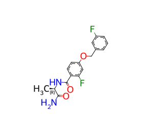 C[C@@H](NC(=O)c1ccc(OCc2cccc(F)c2)cc1F)C(N)=O